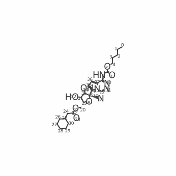 CCCCCOC(=O)Nc1nncn2c([C@]3(C#N)O[C@H](COC(=O)CC4CCCCC4)[C@@H](O)[C@H]3O)ccc12